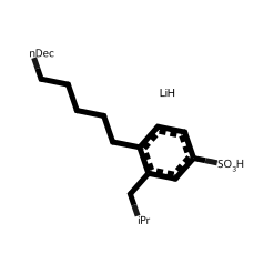 CCCCCCCCCCCCCCCc1ccc(S(=O)(=O)O)cc1CC(C)C.[LiH]